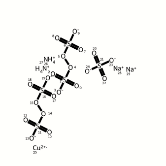 O=S(=O)([O-])OOS(=O)(=O)[O-].O=S(=O)([O-])OOS(=O)(=O)[O-].O=S(=O)([O-])[O-].[Cu+2].[NH4+].[NH4+].[Na+].[Na+]